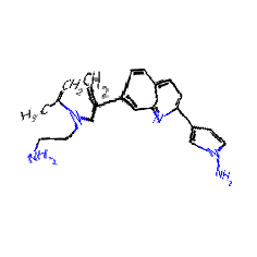 C=C(CN(CCN)C(=C)C)c1ccc2ccc(-c3ccn(N)c3)nc2c1